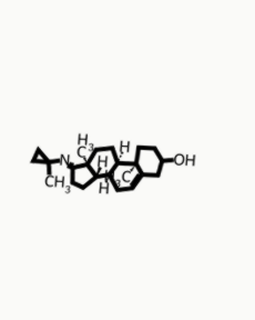 CC1(N=C2CC[C@H]3[C@@H]4CC=C5CC(O)CC[C@]5(C)[C@@H]4CC[C@]23C)CC1